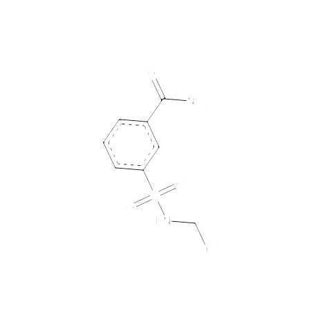 CC(C)CNS(=O)(=O)c1cccc(C(N)=O)c1